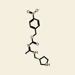 CC(=NC(=O)OCc1ccc([N+](=O)[O-])cc1)NC[C@H]1CCNC1